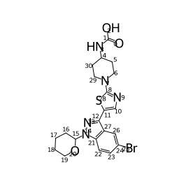 O=C(O)NC1CCN(c2ncc(-c3nn(C4CCCCO4)c4ccc(Br)cc34)s2)CC1